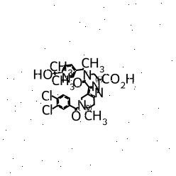 CC(c1ccc(C(C)(C)O)nc1)N1C[C@@H](C(=O)O)n2nc3c(c2C1=O)CN(C(=O)c1ccc(Cl)c(Cl)c1)[C@H](C)C3